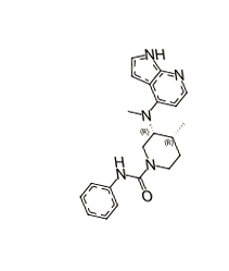 C[C@@H]1CCN(C(=O)Nc2ccccc2)C[C@@H]1N(C)c1ccnc2[nH]ccc12